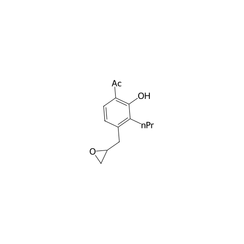 CCCc1c(CC2CO2)ccc(C(C)=O)c1O